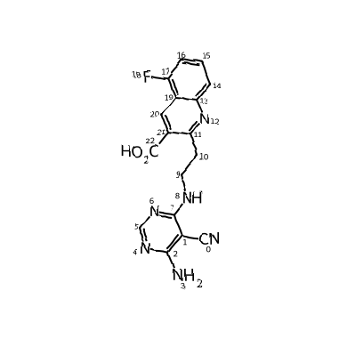 N#Cc1c(N)ncnc1NCCc1nc2cccc(F)c2cc1C(=O)O